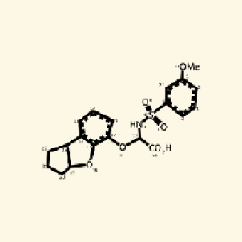 COc1cccc(S(=O)(=O)NC(Oc2cccc3c2OC2CCCC32)C(=O)O)c1